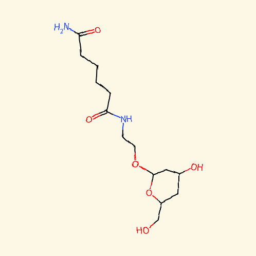 NC(=O)CCCCC(=O)NCCOC1CC(O)CC(CO)O1